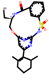 CC1=C(c2cc3nc(n2)NS(=O)(=O)c2cccc(c2)C(=O)N[C@H](CC(C)C)CO3)C(C)CCC1